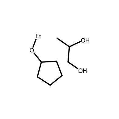 CC(O)CO.CCOC1CCCC1